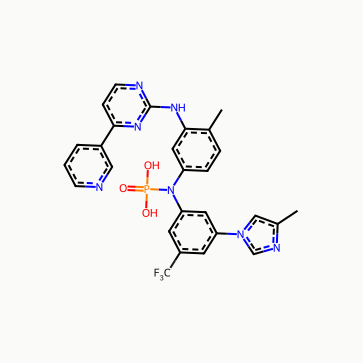 Cc1cn(-c2cc(N(c3ccc(C)c(Nc4nccc(-c5cccnc5)n4)c3)P(=O)(O)O)cc(C(F)(F)F)c2)cn1